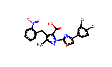 Cc1nn(-c2nc(-c3ccc(Cl)c(Cl)c3)cs2)c(C(=O)O)c1Cc1ccccc1[N+](=O)[O-]